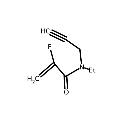 C#CCN(CC)C(=O)C(=C)F